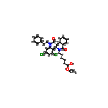 COC(=O)CCCCCN1C(=O)c2ccccc2[C@@H](C(=O)NCCc2ccccc2)[C@@H]1c1ccc(Cl)cc1Cl